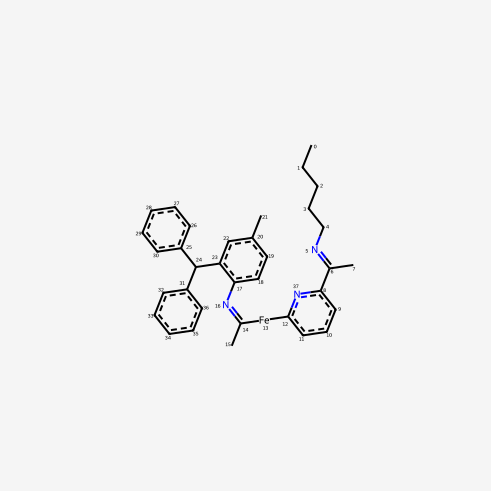 CCCCCN=C(C)c1ccc[c]([Fe][C](C)=Nc2ccc(C)cc2C(c2ccccc2)c2ccccc2)n1